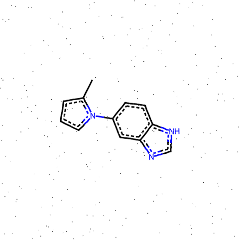 Cc1[c]ccn1-c1ccc2[nH]cnc2c1